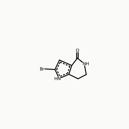 O=C1NCCc2[nH]c(Br)cc21